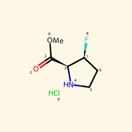 COC(=O)[C@@H]1NCC[C@@H]1F.Cl